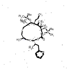 C=CC[C@H]1C(=O)C(C)(C)[C@@H](O[Si](C)(C)C(C)(C)C)CC(=O)O[C@H](C(C)Cc2ccccn2)C/C=C(/C)CCC[C@H](C)[C@@H]1O[Si](C)(C)C(C)(C)C